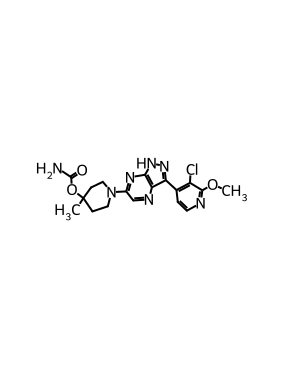 COc1nccc(-c2n[nH]c3nc(N4CCC(C)(OC(N)=O)CC4)cnc23)c1Cl